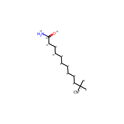 [C-]#[N+]C(C)(C)CCCCCCCCCC(N)=O